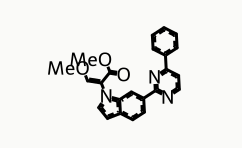 COC=C(C(=O)OC)n1ccc2ccc(-c3nccc(-c4ccccc4)n3)cc21